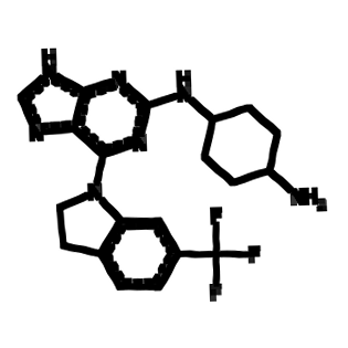 NC1CCC(Nc2nc(N3CCc4ccc(C(F)(F)F)cc43)c3nc[nH]c3n2)CC1